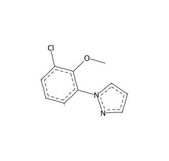 COc1c(-n2cccn2)[c]ccc1Cl